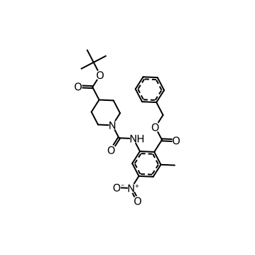 Cc1cc([N+](=O)[O-])cc(NC(=O)N2CCC(C(=O)OC(C)(C)C)CC2)c1C(=O)OCc1ccccc1